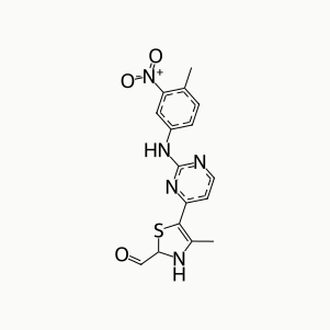 CC1=C(c2ccnc(Nc3ccc(C)c([N+](=O)[O-])c3)n2)SC(C=O)N1